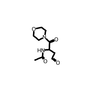 CC(=O)NC(CC=O)C(=O)N1CCOCC1